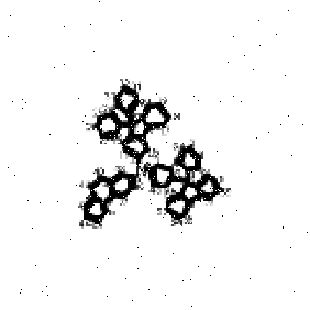 c1ccc(C2(c3ccc(N(c4ccc5c(c4)-c4ccccc4C5(c4ccccc4)c4ccccc4)c4ccc5c(ccc6ccccc65)c4)cc3)c3ccccc3-c3ccccc32)cc1